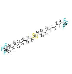 FC(F)(F)CCCCCCCCCCCSSCCCCCCCCCCCC(F)(F)F